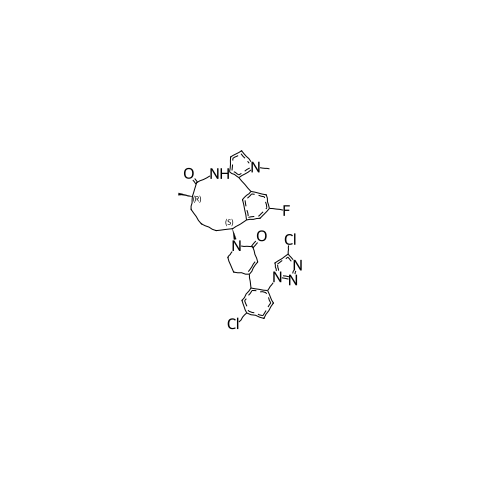 C[C@@H]1CCC[C@H](N2CCC(c3cc(Cl)ccc3-n3cc(Cl)nn3)=CC2=O)c2cc(F)cc(c2)-c2c(ccn2C)NC1=O